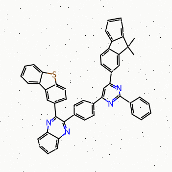 CC1(C)c2ccccc2-c2ccc(-c3cc(-c4ccc(-c5nc6ccccc6nc5-c5ccc6sc7ccccc7c6c5)cc4)nc(-c4ccccc4)n3)cc21